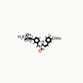 COc1cc(C=C2SC(=O)N(Cc3cccc(C#C[Si](C)(C)C)c3)C2=O)ccc1F